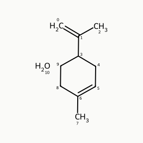 C=C(C)C1CC=C(C)CC1.O